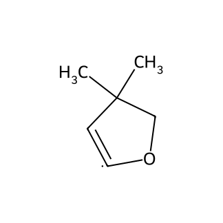 CC1(C)C=[C]OC1